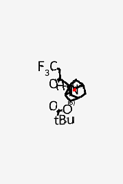 CC(C)(C)C(=O)O[C@H]1C2CC3C[C@@H](C2)C1N(C(=O)CC(F)(F)F)C3